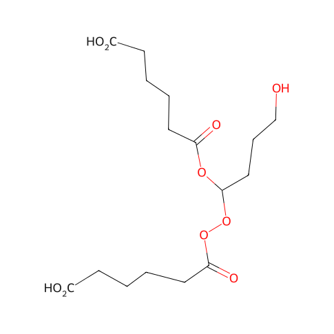 O=C(O)CCCCC(=O)OOC(CCCO)OC(=O)CCCCC(=O)O